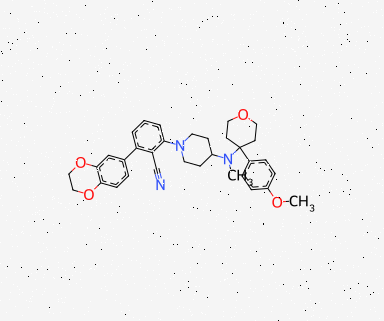 COc1ccc(C2(N(C)C3CCN(c4cccc(-c5ccc6c(c5)OCCO6)c4C#N)CC3)CCOCC2)cc1